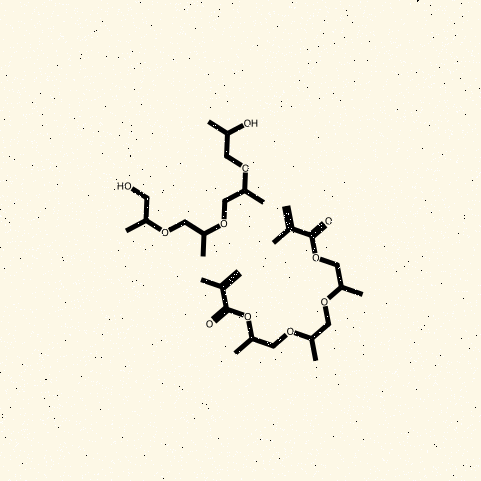 C=C(C)C(=O)OCC(C)OCC(C)OCC(C)OC(=O)C(=C)C.CC(O)COC(C)COC(C)COC(C)CO